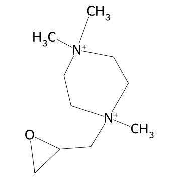 C[N+]1(C)CC[N+](C)(CC2CO2)CC1